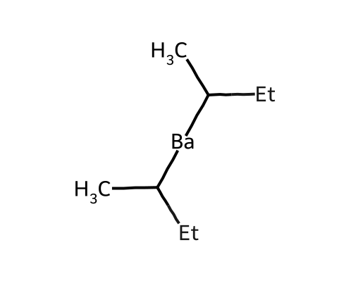 CC[CH](C)[Ba][CH](C)CC